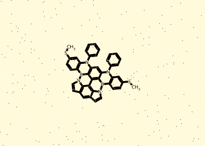 CSc1ccc2c(c1)N(c1ccccc1)c1cc3c4c5c1B2n1ccc2cc6ccn(c6c-5c21)B4c1ccc(SC)cc1N3c1ccccc1